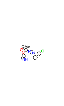 COC(=O)c1ccc(N2CCN(CC3=C(c4ccc(Cl)cc4)CCCCC3)CC2)cc1Oc1ccc2[nH]ccc2c1